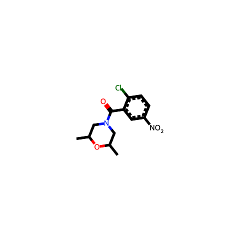 CC1CN(C(=O)c2cc([N+](=O)[O-])ccc2Cl)CC(C)O1